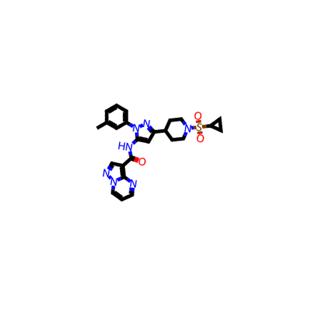 Cc1cccc(-n2nc(C3CCN(S(=O)(=O)C4CC4)CC3)cc2NC(=O)c2cnn3cccnc23)c1